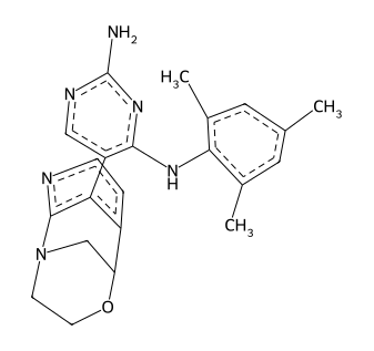 Cc1cc(C)c(Nc2nc(N)ncc2-c2c3ccnc2N2CCOC3C2)c(C)c1